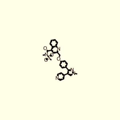 CN(C(=O)c1cc(COc2ccc(-c3nn(C)cc3-c3ccncc3)cc2)nc2ccccc12)S(C)(=O)=O